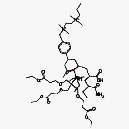 CCC[N+](C)(C)CC[N+](C)(C)Cc1ccc(C(CC(C)C[N+](C)(C)CC)CC(CC(CC(CC)C(N)=O)C(=O)O)C(=O)NC(COCCC(=O)OCC)(COCCC(=O)OCC)COCCC(=O)OCC)cc1